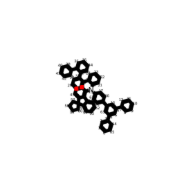 c1ccc(-c2cc(-c3ccccc3)cc(-c3ccc(N(c4ccccc4-c4ccccc4-c4ccccc4-c4ccccc4)c4cccc5c4-c4ccccc4C54CCCC4)cc3)c2)cc1